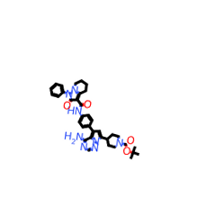 CC(C)(C)OC(=O)N1CCC(c2cc(-c3ccc(NC(=O)c4c5n(n(-c6ccccc6)c4=O)CCCC5)cc3)c3c(N)ncnn23)CC1